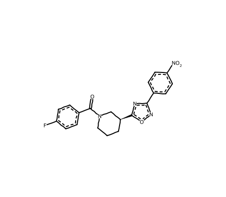 O=C(c1ccc(F)cc1)N1CCC[C@H](c2nc(-c3ccc([N+](=O)[O-])cc3)no2)C1